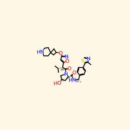 Cc1ncsc1-c1ccc([C@H](C)NC(=O)[C@@H]2C[C@@H](O)CN2C(=O)[C@@H](c2cc(OC3CC4(CCNCC4)C3)no2)C(C)C)cc1